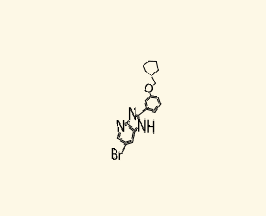 Brc1cnc2nc(-c3cccc(OCC4CCCCC4)c3)[nH]c2c1